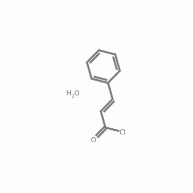 O.O=C(Cl)C=Cc1ccccc1